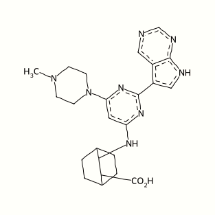 CN1CCN(c2cc(NC3C4CCC(CC4)C3C(=O)O)nc(-c3c[nH]c4ncncc34)n2)CC1